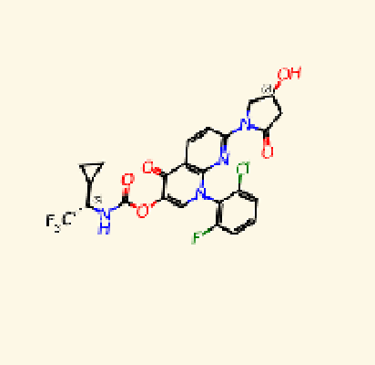 O=C(N[C@@H](C1CC1)C(F)(F)F)Oc1cn(-c2c(F)cccc2Cl)c2nc(N3C[C@@H](O)CC3=O)ccc2c1=O